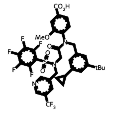 COc1cc(C(=O)O)ccc1N(Cc1cc(C2CC2)cc(C(C)(C)C)c1)C(=O)CN(Cc1cncc(C(F)(F)F)c1)S(=O)(=O)c1c(F)c(F)c(F)c(F)c1F